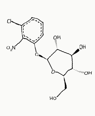 O=[N+]([O-])c1c(Cl)cccc1O[C@@H]1O[C@H](CO)[C@@H](O)[C@H](O)[C@H]1O